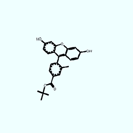 Cc1cc(C(=O)OC(C)(C)C)ccc1C1=C2C=CC(O)C=C2Oc2cc(O)ccc21